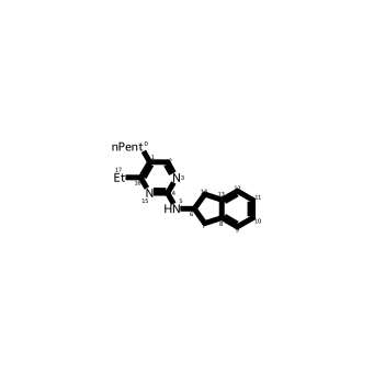 CCCCCc1cnc(NC2Cc3ccccc3C2)nc1CC